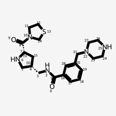 O=C(NC[C@@H]1CN[C@H](C(=O)N2CCSC2)C1)c1cccc(CN2CCNCC2)c1